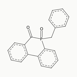 O=C1c2ccccc2-c2ccccc2P1(=O)Cc1ccccc1